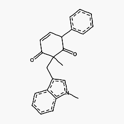 Cn1cc(CC2(C)C(=O)C=CC(c3ccccc3)C2=O)c2ccccc21